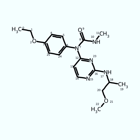 CCOc1ccc(N(C(=O)NC)c2ccnc(NC(C)COC)n2)cc1